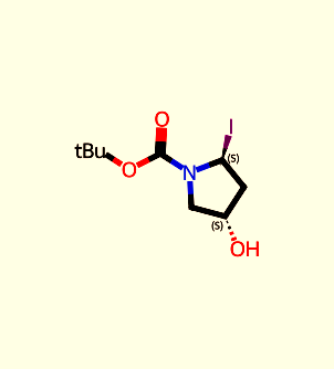 CC(C)(C)OC(=O)N1C[C@@H](O)C[C@@H]1I